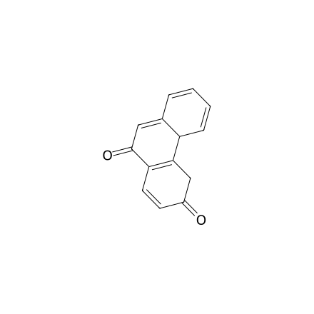 O=C1C=CC2=C(C1)C1C=CC=CC1=CC2=O